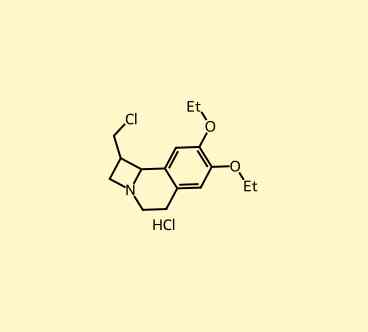 CCOc1cc2c(cc1OCC)C1C(CCl)CN1CC2.Cl